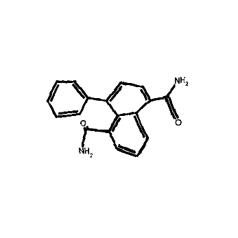 NC(=O)c1ccc(-c2ccccc2)c2c(C(N)=O)cccc12